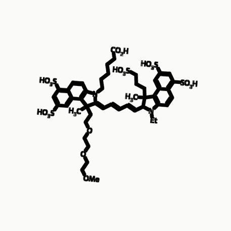 CCN1c2ccc3c(S(=O)(=O)O)cc(S(=O)(=O)O)cc3c2C(C)(CCCS(=O)(=O)O)C1C=CC=CC=C1N(CCCCCC(=O)O)c2ccc3c(S(=O)(=O)O)cc(S(=O)(=O)O)cc3c2C1(C)CCOCCOCCOC